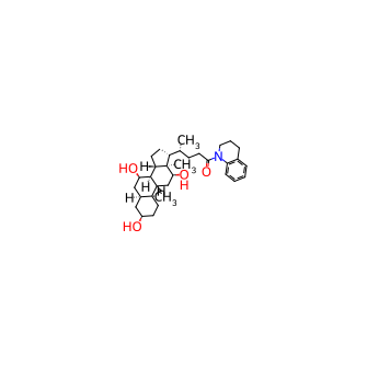 C[C@H](CCC(=O)N1CCCc2ccccc21)[C@H]1CC[C@H]2[C@@H]3[C@H](O)C[C@@H]4C[C@H](O)CC[C@]4(C)[C@H]3C[C@H](O)[C@]12C